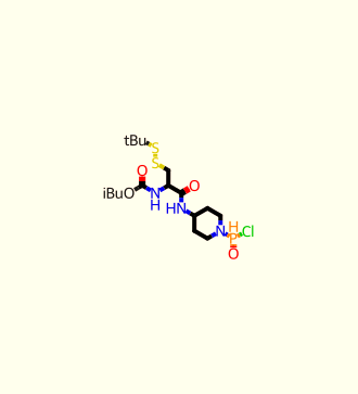 CC(C)COC(=O)NC(CSSC(C)(C)C)C(=O)NC1CCN([PH](=O)Cl)CC1